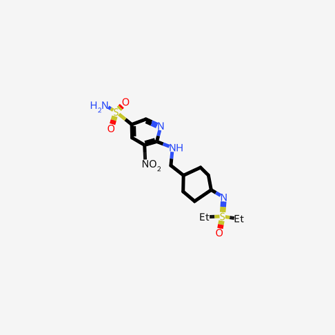 CCS(=O)(CC)=NC1CCC(CNc2ncc(S(N)(=O)=O)cc2[N+](=O)[O-])CC1